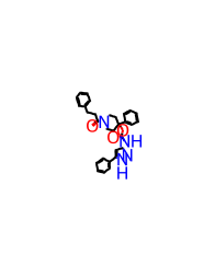 O=C(Nc1cc(-c2ccccc2)[nH]n1)OC1(c2ccccc2)CCN(C(=O)CCc2ccccc2)CC1